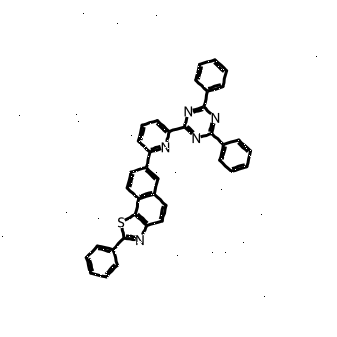 c1ccc(-c2nc(-c3ccccc3)nc(-c3cccc(-c4ccc5c(ccc6nc(-c7ccccc7)sc65)c4)n3)n2)cc1